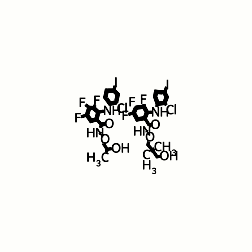 CC(C)(CO)CONC(=O)c1cc(F)c(F)c(F)c1Nc1ccc(I)cc1Cl.CC(O)CONC(=O)c1cc(F)c(F)c(F)c1Nc1ccc(I)cc1Cl